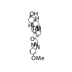 COc1ccc2nn(CC(=O)[C@H]3CC[C@H]4[C@@H]5CC[C@@H]6C[C@](C)(O)CC[C@@H]6[C@H]5CC[C@]34C)nc2c1